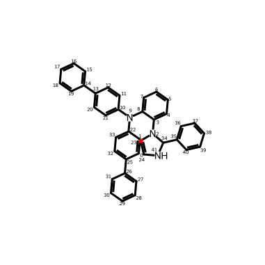 C1=CN(c2ccccc2N(c2ccc(-c3ccccc3)cc2)c2ccc(-c3ccccc3)cc2)C(c2ccccc2)N1